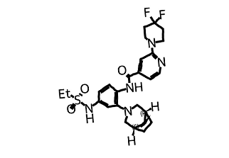 CCS(=O)(=O)Nc1ccc(NC(=O)c2ccnc(N3CCC(F)(F)CC3)c2)c(N2C[C@H]3CC[C@@H](C2)C32CC2)c1